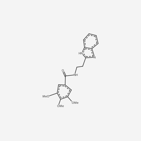 COc1cc(C(=O)NCCc2nc3ccccc3[nH]2)cc(OC)c1OC